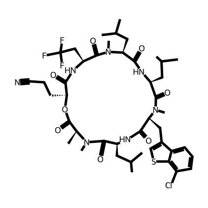 CC(C)C[C@@H]1NC(=O)[C@H](Cc2csc3c(Cl)cccc23)N(C)C(=O)[C@H](CC(C)C)NC(=O)[C@H](CC(C)C)N(C)C(=O)[C@H](CC(F)(F)F)NC(=O)[C@@H](CCC#N)OC(=O)[C@H](C)N(C)C1=O